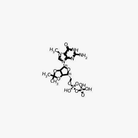 C[n+]1cn([C@@H]2O[C@H](COP(=O)(O)OP(=O)(O)O)C3OC(C)(C)OC32)c2nc(N)[nH]c(=O)c21